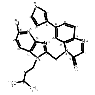 CC(C)CCn1c(Cn2c(=O)cnc3ccc(-c4ccsc4)cc32)nc2nc(Cl)ccc21